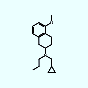 CCCN(CC1CC1)C1CCc2c(cccc2OC)C1